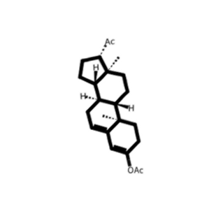 CC(=O)OC1=CC2=CC[C@H]3[C@@H]4CC[C@H](C(C)=O)[C@@]4(C)CC[C@@H]3[C@@]2(C)CC1